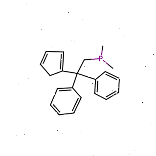 CP(C)CC(C1=CC=CC1)(c1ccccc1)c1ccccc1